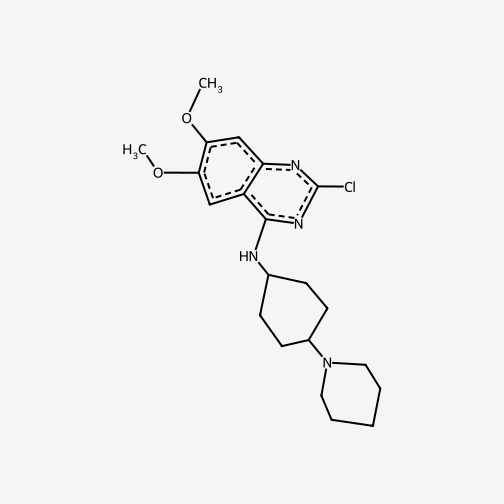 COc1cc2nc(Cl)nc(NC3CCC(N4CCCCC4)CC3)c2cc1OC